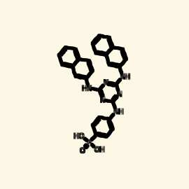 O=P(O)(O)c1ccc(Nc2nc(Nc3ccc4ccccc4c3)nc(Nc3ccc4ccccc4c3)n2)cc1